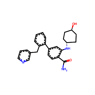 NC(=O)c1ccc(-c2ccccc2Cc2cccnc2)cc1N[C@H]1CC[C@H](O)CC1